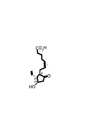 C=C[C@H]1[C@H](O)CC(=O)[C@@H]1C/C=C\CCCC(=O)O